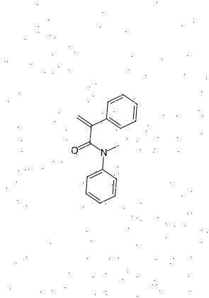 C=C(C(=O)N(C)c1ccccc1)c1ccccc1